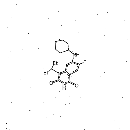 CCC(CC)n1c(=O)[nH]c(=O)c2cc(F)c(NC3CCCCC3)cc21